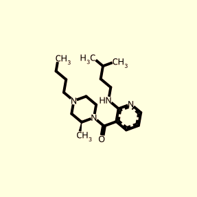 CCCCN1CCN(C(=O)c2cccnc2NCCC(C)C)[C@@H](C)C1